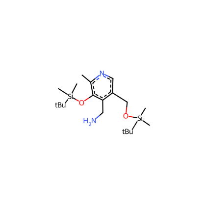 Cc1ncc(CO[Si](C)(C)C(C)(C)C)c(CN)c1O[Si](C)(C)C(C)(C)C